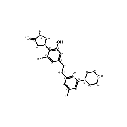 Cc1cc(NCc2cc(O)c(N3CC(=O)NS3)c(F)c2)nc(N2CCOCC2)c1